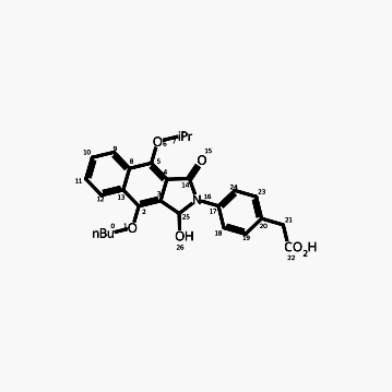 CCCCOc1c2c(c(OC(C)C)c3ccccc13)C(=O)N(c1ccc(CC(=O)O)cc1)C2O